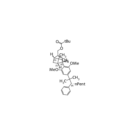 CCCCC[C@H](c1ccccc1)C(C)(C)c1cc(OC)c([C@H]2C=C(COC(=O)C(C)(C)C)[C@H]3C[C@@H]2C3(C)C)c(OC)c1